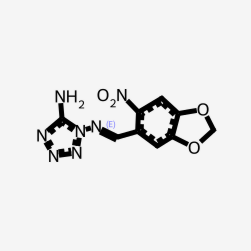 Nc1nnnn1/N=C/c1cc2c(cc1[N+](=O)[O-])OCO2